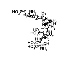 CC(N)C(=O)O.CC(O)C(N)C(=O)O.CSCCC(N)C(=O)O.NC(CC(=O)O)C(=O)O.NC(CCC(=O)O)C(=O)O.NC(CO)C(=O)O.NCC(=O)O